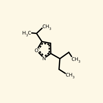 CCC(CC)c1cc(C(C)C)on1